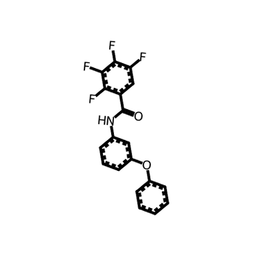 O=C(Nc1cccc(Oc2ccccc2)c1)c1cc(F)c(F)c(F)c1F